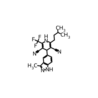 Cc1n[nH]c2ccc(C3C(C#N)=C(CCC(C)C)NC(C(F)(F)F)=C3C#N)cc12